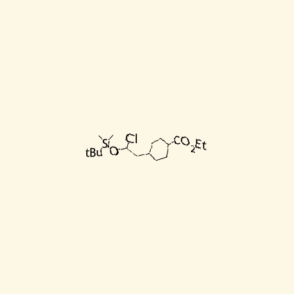 CCOC(=O)C1CCC(CC(Cl)O[Si](C)(C)C(C)(C)C)CC1